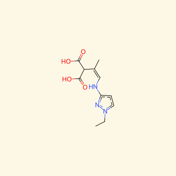 CCn1ccc(NC=C(C)C(C(=O)O)C(=O)O)n1